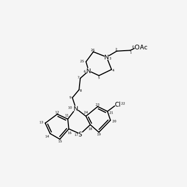 CC(=O)OCCN1CCN(CCCN2c3ccccc3Sc3ccc(Cl)cc32)CC1